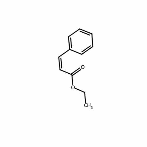 CCOC(=O)/C=C\c1ccccc1